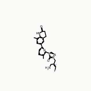 Cc1ccc(-c2cc(C)c3c(c2)CCC(=O)N3)nc1-n1cnn(C/C(=C/F)CN)c1=O